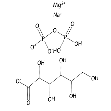 O=C([O-])C(O)C(O)C(O)C(O)CO.O=P([O-])([O-])OP(=O)(O)O.[Mg+2].[Na+]